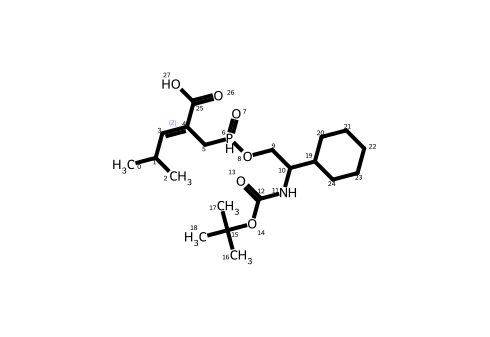 CC(C)/C=C(\C[PH](=O)OCC(NC(=O)OC(C)(C)C)C1CCCCC1)C(=O)O